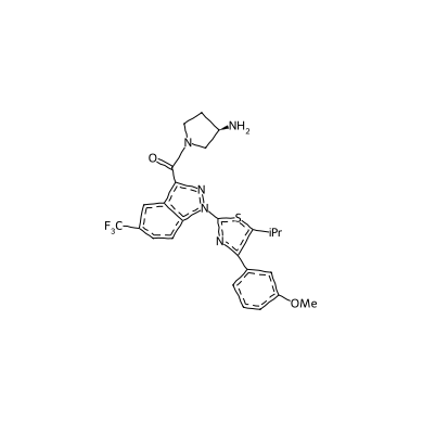 COc1cccc(-c2nc(-n3nc(C(=O)N4CC[C@@H](N)C4)c4cc(C(F)(F)F)ccc43)sc2C(C)C)c1